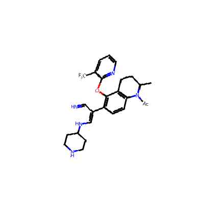 CC(=O)N1c2ccc(/C(C=N)=C/NC3CCNCC3)c(Oc3ncccc3C(F)(F)F)c2CCC1C